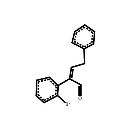 O=CC(=CCc1ccccc1)c1ccccc1Br